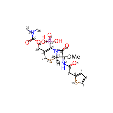 COC1(NC(=O)Cc2cccs2)C(=O)N2C(P(=O)(O)O)=C(COC(=O)N(C)C)CS[C@H]21